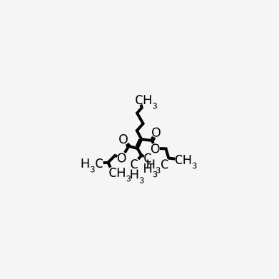 CCCCCC(C(=O)OCC(C)C)=C(C(=O)OCC(C)C)C(C)C